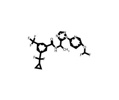 CC(NC(=O)c1cc(C(F)(F)F)cc(C(F)(F)C2CC2)c1)c1ncnn1-c1ccc(OC(F)F)cn1